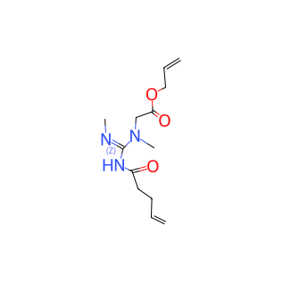 C=CCCC(=O)N/C(=N/C)N(C)CC(=O)OCC=C